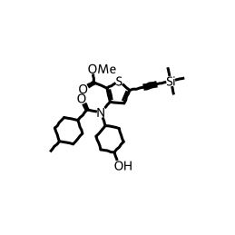 COC(=O)c1sc(C#C[Si](C)(C)C)cc1N(C(=O)C1CCC(C)CC1)C1CCC(O)CC1